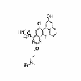 CC(C)N(C)CCCOc1nc(N2CC3CCCC2CN3)c2cc(Cl)c(-c3cc(O)cc4ccccc34)c(F)c2n1